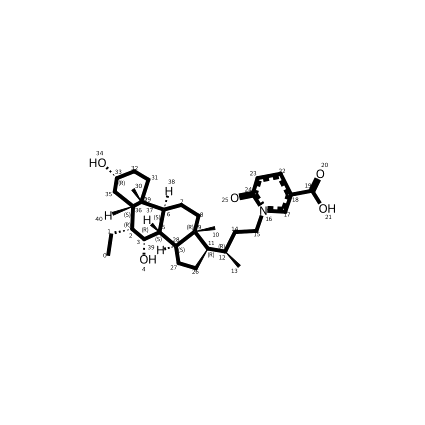 CC[C@H]1[C@@H](O)[C@@H]2[C@H](CC[C@]3(C)[C@@H]([C@H](C)CCn4cc(C(=O)O)ccc4=O)CC[C@@H]23)[C@@]2(C)CC[C@@H](O)C[C@@H]12